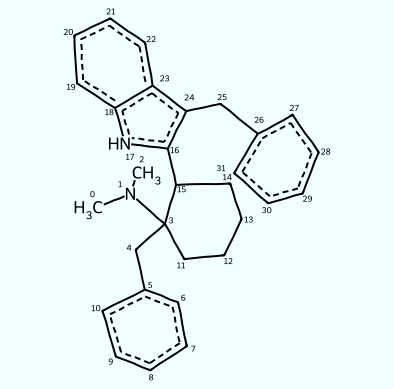 CN(C)C1(Cc2ccccc2)CCCCC1c1[nH]c2ccccc2c1Cc1ccccc1